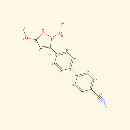 COC1C=C(c2ccc(-c3ccc(C#N)cc3)cc2)C(OC)O1